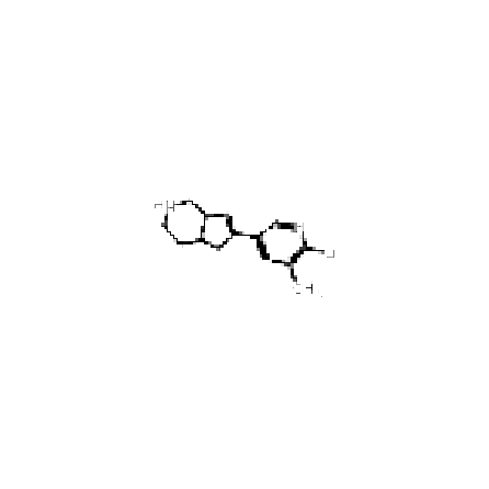 Cc1cc(C2=CC3CNCCC3C2)cnc1Cl